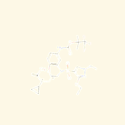 C=C(O)[C@H](C[C@H]1CN(S(=O)(=O)c2cn(CC)nc2OCC)c2cc(NC(=O)OC(C)(C)C(F)(F)F)ccc2O1)C1CC1